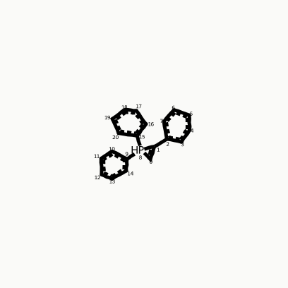 C1=C(c2ccccc2)[PH]1(c1ccccc1)c1ccccc1